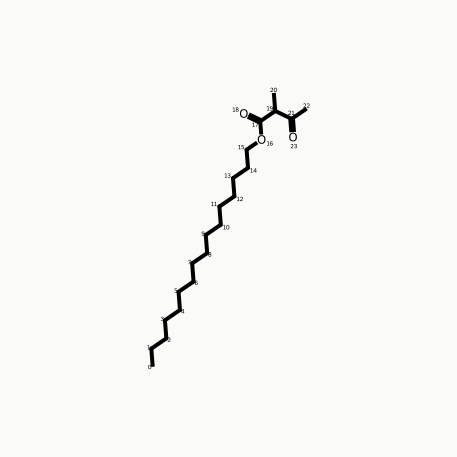 CCCCCCCCCCCCCCCCOC(=O)C(C)C(C)=O